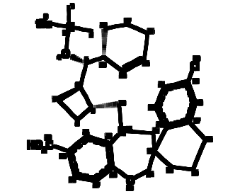 CC(C)(C)[Si](C)(C)O[C@@H]([C@@H]1CC[C@H]1CN1CC2(CCCc3cc(Cl)ccc32)COc2ccc(C(=O)O)cc21)[C@H]1C=CCCC1